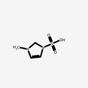 CN1C=CN(S(=O)(=O)O)C1